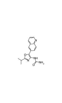 CC(C)c1nc(NC(N)=O)c(-c2ccc3ncccc3c2)o1